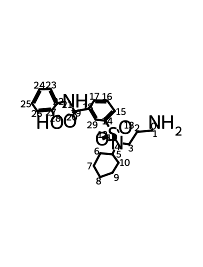 NCCCN(C1CCCCC1)S(=O)(=O)c1cccc(C(=O)Nc2ccccc2O)c1